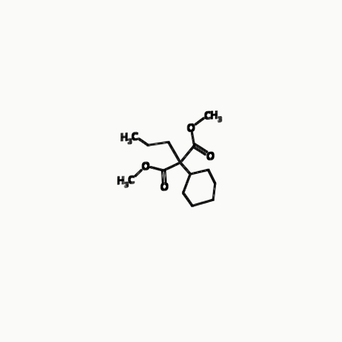 CCCC(C(=O)OC)(C(=O)OC)C1CCCCC1